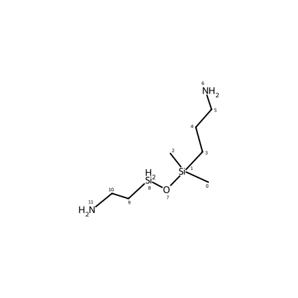 C[Si](C)(CCCN)O[SiH2]CCN